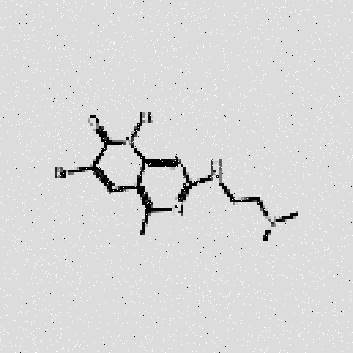 CCn1c(=O)c(Br)cc2c(C)nc(NCCN(C)C)nc21